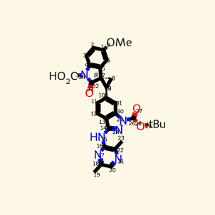 COc1ccc2c(c1)[C@]1(C[C@H]1c1ccc3c(Nc4nc(C)cnc4C)nn(C(=O)OC(C)(C)C)c3c1)C(=O)N2C(=O)O